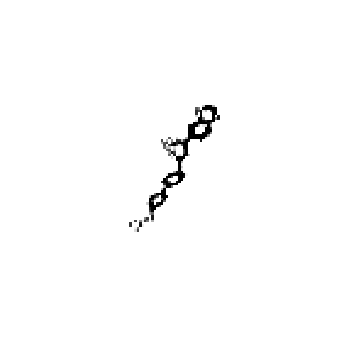 FC(F)(F)Oc1ccc(-c2ccc(C3=NNC(c4ccc5nccnc5c4)C3)cc2)cc1